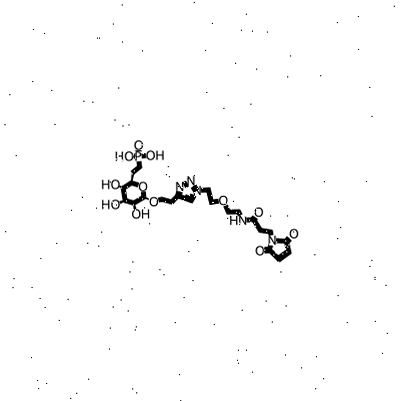 O=C(CCN1C(=O)C=CC1=O)NCCOCCn1cc(CCO[C@H]2O[C@H](CCP(=O)(O)O)[C@@H](O)[C@H](O)[C@@H]2O)nn1